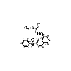 CCC(C)OC=O.O=S(=O)(c1ccccc1)c1ccc2cncc(O)c2c1